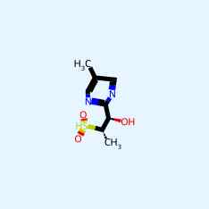 Cc1cnc([C@@H](O)[C@H](C)[SH](=O)=O)nc1